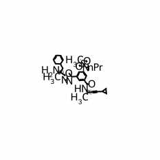 CCCN(c1cc(C(=O)N[C@H](C)C#CC2CC2)cc(-c2nnc([C@](C)(N)CC3C=CC=CC3)o2)c1)S(C)(=O)=O